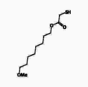 COCCCCCCCCOC(=O)CS